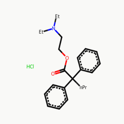 CCCC(C(=O)OCCN(CC)CC)(c1ccccc1)c1ccccc1.Cl